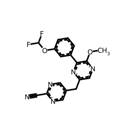 COc1ncc(Cc2cnc(C#N)nc2)nc1-c1cccc(OC(F)F)c1